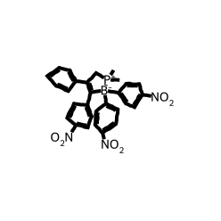 C[P+]1(C)CC(c2ccccc2)=C(c2ccc([N+](=O)[O-])cc2)[B-]1(c1ccc([N+](=O)[O-])cc1)c1ccc([N+](=O)[O-])cc1